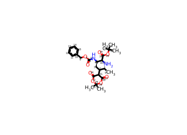 CCC(C[C@@H](NC(=O)OCc1ccccc1)C(N)C(=O)OC(C)(C)C)C1C(=O)OC(C)(C)OC1=O